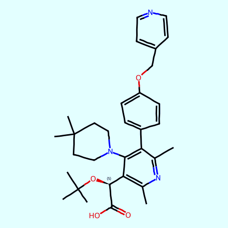 Cc1nc(C)c([C@H](OC(C)(C)C)C(=O)O)c(N2CCC(C)(C)CC2)c1-c1ccc(OCc2ccncc2)cc1